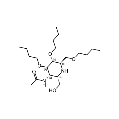 CCCCOC[C@H]1N[C@H](CO)[C@H](NC(C)=O)[C@@H](OCCCC)[C@@H]1OCCCC